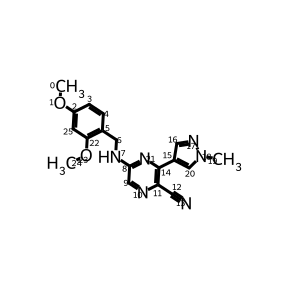 COc1ccc(CNc2cnc(C#N)c(-c3cnn(C)c3)n2)c(OC)c1